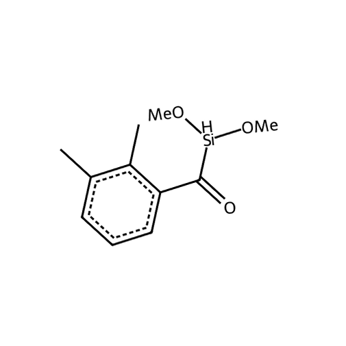 CO[SiH](OC)C(=O)c1cccc(C)c1C